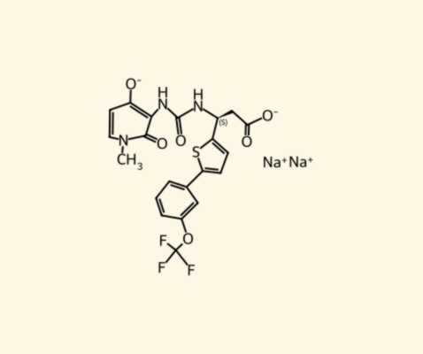 Cn1ccc([O-])c(NC(=O)N[C@@H](CC(=O)[O-])c2ccc(-c3cccc(OC(F)(F)F)c3)s2)c1=O.[Na+].[Na+]